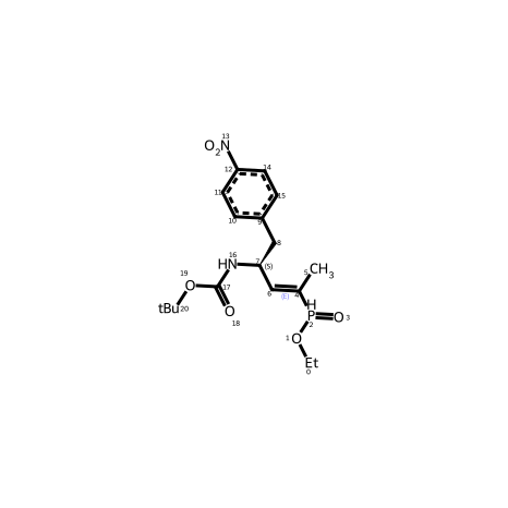 CCO[PH](=O)/C(C)=C/[C@H](Cc1ccc([N+](=O)[O-])cc1)NC(=O)OC(C)(C)C